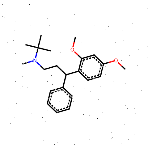 COc1ccc(C(CCN(C)C(C)(C)C)c2ccccc2)c(OC)c1